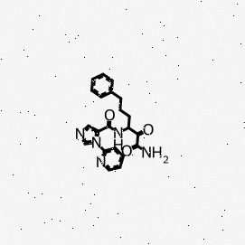 NC(=O)C(=O)C(CCCc1ccccc1)NC(=O)c1cncn1-c1ccccn1